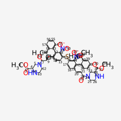 COC(=O)C1CN(C(=O)/C=C/c2ccc(Sc3ccc(/C=C/C(=O)N4CCNC(C(=O)OC)C4)c(-c4ccccc4C(C)C)c3[N+](=O)[O-])c([N+](=O)[O-])c2-c2ccccc2C(C)C)CCN1